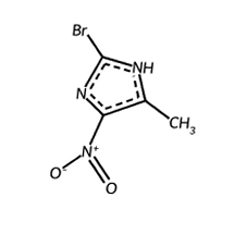 Cc1[nH]c(Br)nc1[N+](=O)[O-]